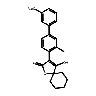 COc1cccc(-c2ccc(C3=C(O)C4(CCCCC4)OC3=O)c(C)c2)c1